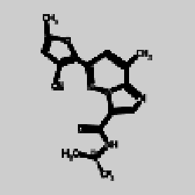 Cc1cc(C#N)c(-c2cc(C)c3ncc(C(=O)N[C@@H](C)C(F)(F)F)n3n2)o1